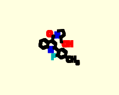 Cc1ccc(-c2cc(C(=O)N3CCCC3CO)c3ccccc3n2)c(F)c1